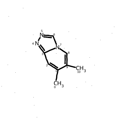 Cc1cc2nncn2cc1C